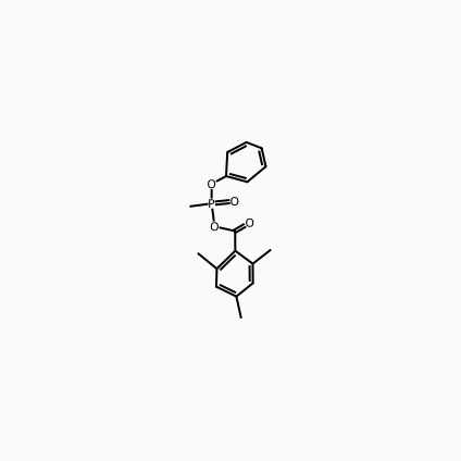 Cc1cc(C)c(C(=O)OP(C)(=O)Oc2ccccc2)c(C)c1